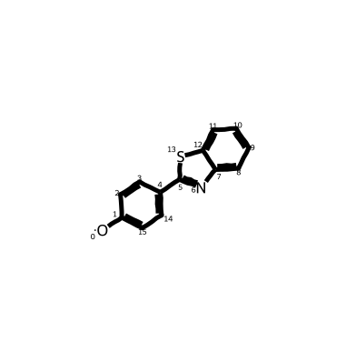 [O]c1ccc(-c2nc3ccccc3s2)cc1